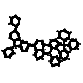 c1ccc(-c2ccc3c(c2)c2cc(-c4ccc5c6c(cccc46)N(c4ccccc4)c4c-5ccc5c4-c4ccccc4C5(c4ccccc4)c4ccccc4)ccc2n3-c2ccccc2)cc1